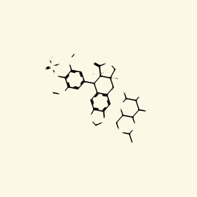 COc1cc(C2c3cc4c(cc3[C@@H](OC3OC5COC(C)OC5C(O)C3O)[C@H]3COC(=O)[C@H]23)OCO4)cc(OC)c1OP(=O)(O)O